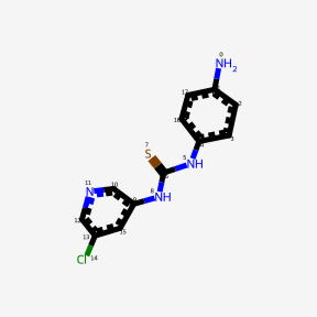 Nc1ccc(NC(=S)Nc2cncc(Cl)c2)cc1